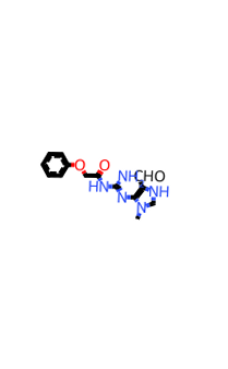 CN1CNC(C=O)=C1/N=C(\N)NC(=O)COc1ccccc1